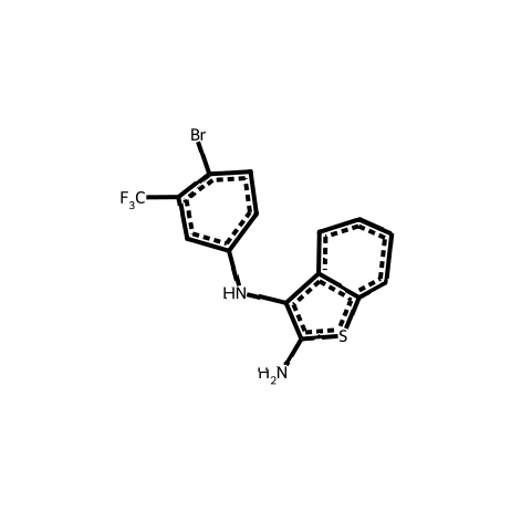 Nc1sc2ccccc2c1Nc1ccc(Br)c(C(F)(F)F)c1